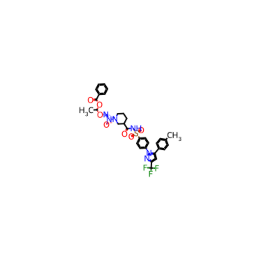 Cc1ccc(-c2cc(C(F)(F)F)nn2-c2ccc(S(=O)(=O)NC(=O)C3CCCN(/[N+]([O-])=N/OC(C)OC(=O)c4ccccc4)C3)cc2)cc1